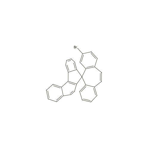 Brc1ccc2c(c1)C1(c3ccccc3C=C2)c2ccccc2-c2c1ccc1ccccc21